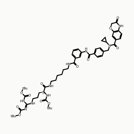 CC(C)(C)OC(=O)/N=C(/NCCC[C@H](NC(=O)OC(C)(C)C)C(=O)NCCCCCCNC(=O)c1cccc(NC(=O)c2ccc(CN(C(=O)c3ccc4c(c3)OCC(=O)N4)C3CC3)cc2)c1)NC(=O)OC(C)(C)C